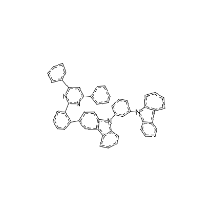 c1ccc(-c2cc(-c3ccccc3)nc(-c3ccccc3-c3ccc4c(c3)c3ccccc3n4-c3cccc(-n4c5ccccc5c5ccccc54)c3)n2)cc1